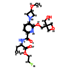 CCC(NC(=O)c1ccc(N2CC(OC)C2)c(OCC2(CO)COC2)n1)C(=O)OCCF